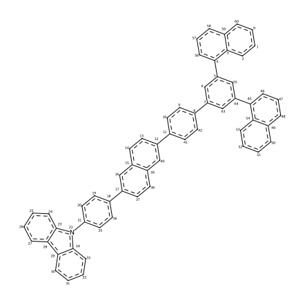 c1ccc2c(-c3cc(-c4ccc(-c5ccc6cc(-c7ccc(-n8c9ccccc9c9ccccc98)cc7)ccc6c5)cc4)cc(-c4cccc5ccccc45)c3)cccc2c1